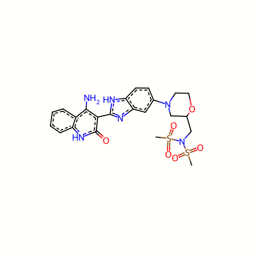 CS(=O)(=O)N(CC1CN(c2ccc3[nH]c(-c4c(N)c5ccccc5[nH]c4=O)nc3c2)CCO1)S(C)(=O)=O